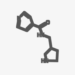 O=C(NCC1CCNC1)c1ccncc1